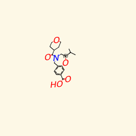 CC(C)[C@@H]1CN(C(=O)C2CCOCC2)Cc2ccc(C(=O)O)cc2O1